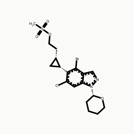 CS(=O)(=O)OCC[C@H]1C[C@H]1c1c(Cl)cc2c(cnn2[C@H]2CCCCO2)c1Br